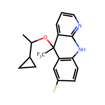 CC(OC1(C(F)(F)F)c2cc(F)ccc2Nc2ncccc21)C1CC1